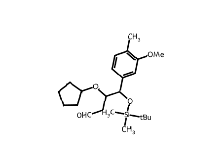 COc1cc(C(O[Si](C)(C)C(C)(C)C)C(CC=O)OC2CCCC2)ccc1C